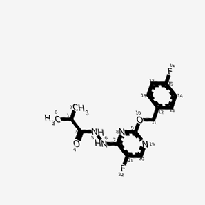 CC(C)C(=O)NNc1nc(OCc2ccc(F)cc2)ncc1F